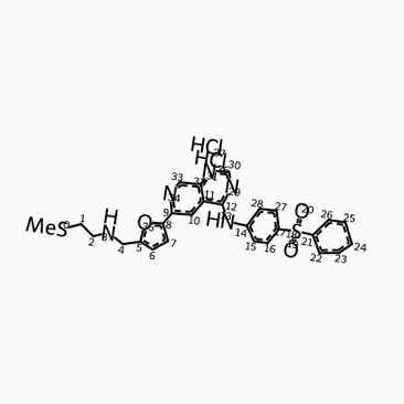 CSCCNCc1ccc(-c2cc3c(Nc4ccc(S(=O)(=O)c5ccccc5)cc4)ncnc3cn2)o1.Cl.Cl